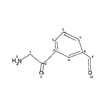 NCC(=O)c1cccc(C=O)c1